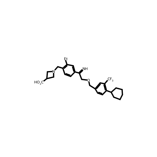 CCc1cc(C(=N)COCc2ccc(C3CCCCC3)c(C(F)(F)F)c2)ccc1CN1CC(C(=O)O)C1